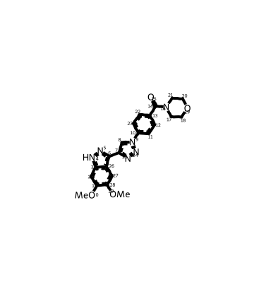 COc1cc2[nH]nc(-c3cn(-c4ccc(C(=O)N5CCOCC5)cc4)nn3)c2cc1OC